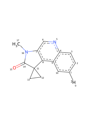 [2H]c1ccc2ncc3c(c2c1)C1(CC1)C(=O)N3C